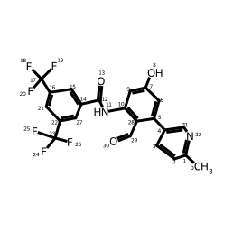 Cc1ccc(-c2cc(O)cc(NC(=O)c3cc(C(F)(F)F)cc(C(F)(F)F)c3)c2C=O)cn1